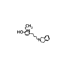 C=Cc1nc(CCCCN2CCc3ccccc3C2)ccc1O